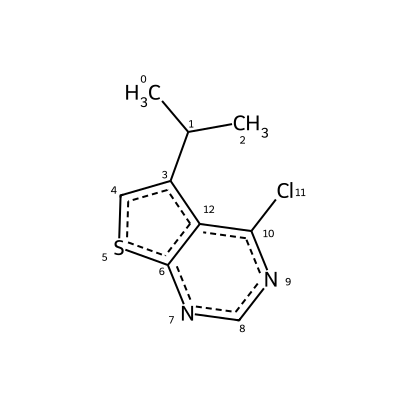 CC(C)c1csc2ncnc(Cl)c12